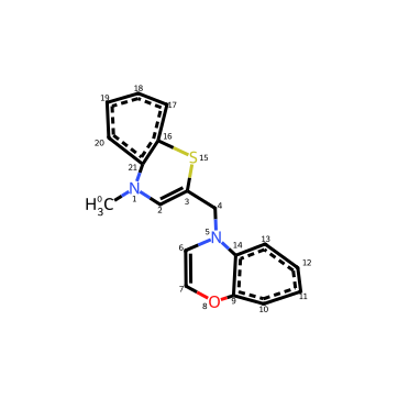 CN1C=C(CN2C=COc3ccccc32)Sc2ccccc21